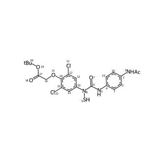 CC(=O)Nc1ccc(NC(=O)N(S)c2cc(Cl)c(OCC(=O)OC(C)(C)C)c(Cl)c2)cc1